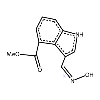 COC(=O)c1cccc2[nH]cc(/C=N\O)c12